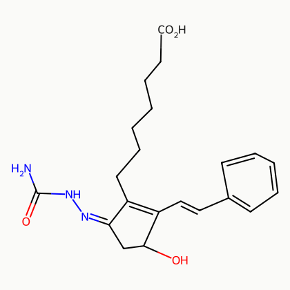 NC(=O)NN=C1CC(O)C(C=Cc2ccccc2)=C1CCCCCCC(=O)O